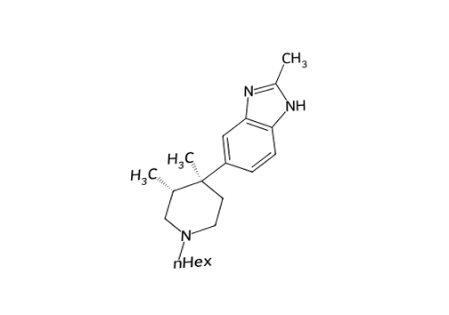 CCCCCCN1CC[C@](C)(c2ccc3[nH]c(C)nc3c2)[C@@H](C)C1